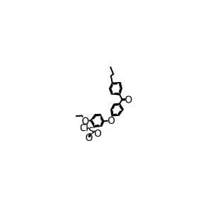 CCCc1ccc(C(=O)c2ccc(Oc3ccc(OCC)c(S(=O)(=O)Cl)c3)cc2)cc1